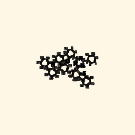 c1ccc(-c2nc(-c3cccc4c3oc3cc(-n5c6ccccc6c6cccc(-c7ccccc7)c65)ccc34)nc(-c3cccc4c3sc3ccccc34)n2)cc1